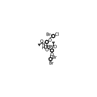 O=C(OC(=O)c1cc(OCc2ccc(Br)cc2Br)ccc1NC(=O)C1CC1)c1cc(OCc2ccc(Cl)cc2Br)ccc1NC(=O)C1CC1